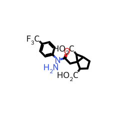 NN(C(=O)CC12C(C(=O)O)CCC1C2C(=O)O)c1ccc(C(F)(F)F)cc1